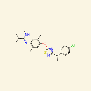 CNC(=Nc1cc(C)c(Oc2nc(C(C)c3ccc(Cl)cc3)ns2)cc1C)C(C)C